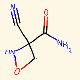 N#CC1(C(N)=O)[CH]ON1